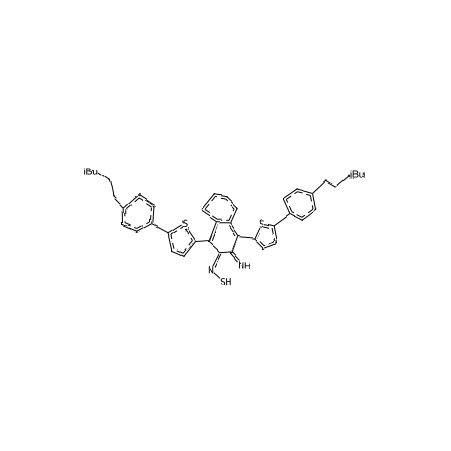 CCC(C)CCc1ccc(-c2ccc(C3=c4ccccc4=C(c4ccc(-c5ccc(CCC(C)CC)cc5)s4)/C(=N/S)C3=N)s2)cc1